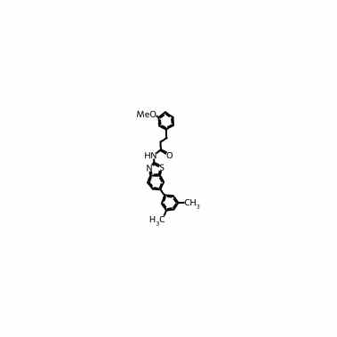 COc1cccc(CCC(=O)Nc2nc3ccc(-c4cc(C)cc(C)c4)cc3s2)c1